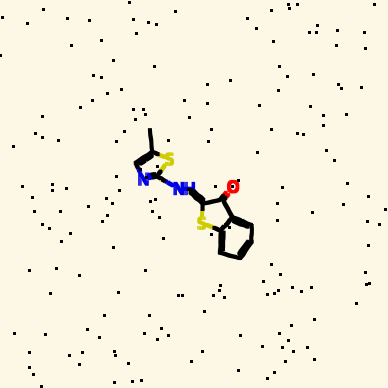 Cc1cnc(NC=C2Sc3ccccc3C2=O)s1